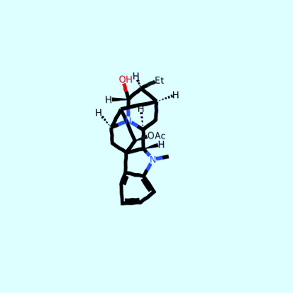 CC[C@@H]1[C@@H](O)N2[C@H]3CC45c6ccccc6N(C)[C@H]4[C@@H]2C[C@H]1C3[C@H]5OC(C)=O